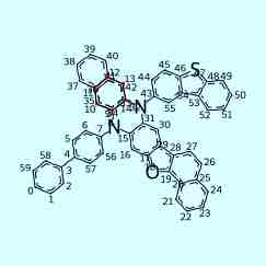 c1ccc(-c2ccc(N(c3ccccc3)c3cc4oc5c6ccccc6ccc5c4cc3N(c3ccc4ccccc4c3)c3ccc4sc5ccccc5c4c3)cc2)cc1